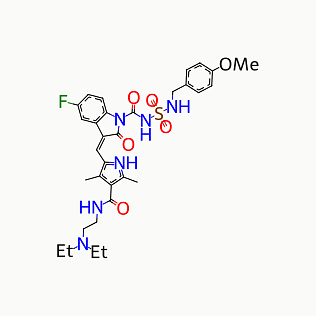 CCN(CC)CCNC(=O)c1c(C)[nH]c(/C=C2\C(=O)N(C(=O)NS(=O)(=O)NCc3ccc(OC)cc3)c3ccc(F)cc32)c1C